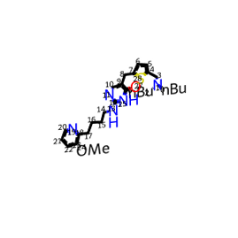 CCCCN(CCCC)Cc1ccc(Cc2cnc(NCCCCc3ncccc3OC)[nH]c2=O)s1